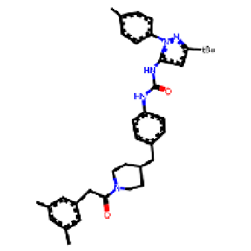 Cc1ccc(-n2nc(C(C)(C)C)cc2NC(=O)Nc2ccc(CC3CCN(C(=O)Cc4cc(C)cc(C)c4)CC3)cc2)cc1